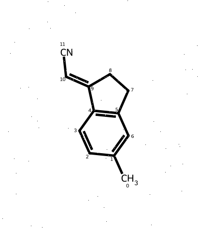 Cc1ccc2c(c1)CCC2=CC#N